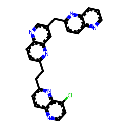 Clc1ccnc2ccc(CCc3ccc4ncc(Cc5ccc6ncccc6n5)cc4n3)nc12